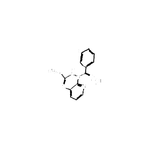 CCCCCCC1=Nc2cccnc2N(C(=O)c2ccccc2)N1.Cl